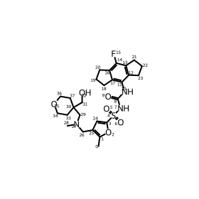 Cc1oc(S(=O)(=O)NC(=O)Nc2c3c(c(F)c4c2CCC4)CCC3)cc1CN(C)CC1(CO)CCOCC1